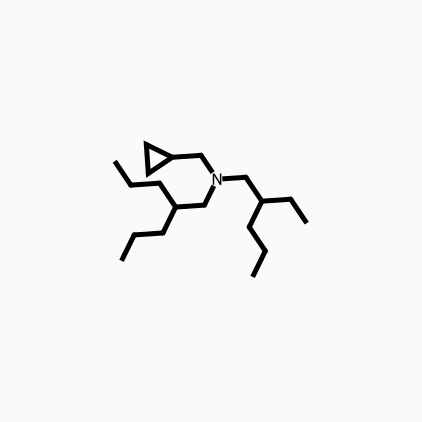 CCCC(CC)CN(CC(CCC)CCC)CC1CC1